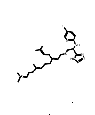 CC(C)=CCC/C(C)=C/CCC(=CCSCC(Nc1ccc(F)cn1)c1nnn[nH]1)CC=C(C)C